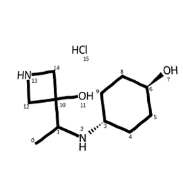 CC(N[C@H]1CC[C@H](O)CC1)C1(O)CNC1.Cl